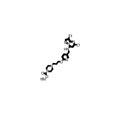 CCc1cnn2c(NCc3ccc(OCCCN4CCN(C(=O)OC(C)(C)C)CC4)nc3)cc(Cl)nc12